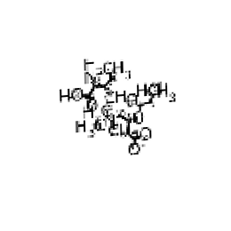 CCC(=O)OC(CC(=O)[O-])C[N+](C)(C)C.CCC(C)C(N)C(=O)O.Cl